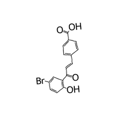 O=C(O)c1ccc(C=CC(=O)c2cc(Br)ccc2O)cc1